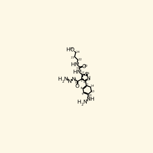 NN=NC(=O)c1c(C2=CC=C(NN)CC2)nsc1NC(=O)NCCCO